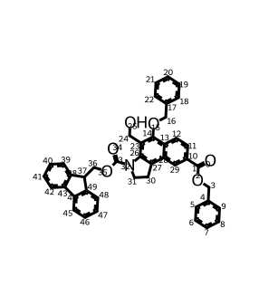 O=C(OCc1ccccc1)c1ccc2c(OCc3ccccc3)c(CO)c3c(c2c1)CCN3C(=O)OCC1c2ccccc2-c2ccccc21